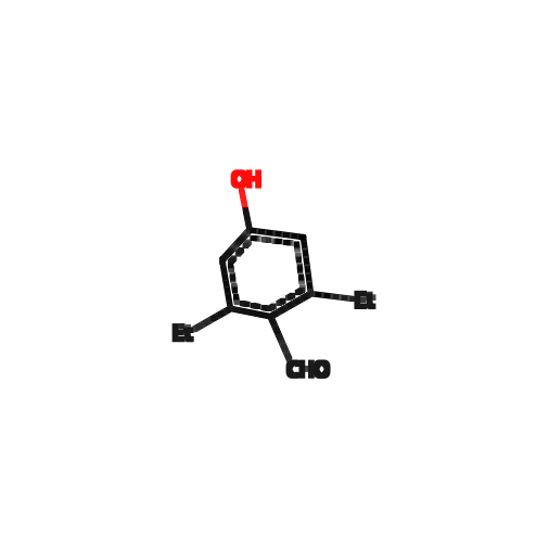 CCc1cc(O)cc(CC)c1C=O